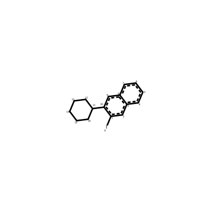 Ic1cc2ccccc2cc1C1CCCCC1